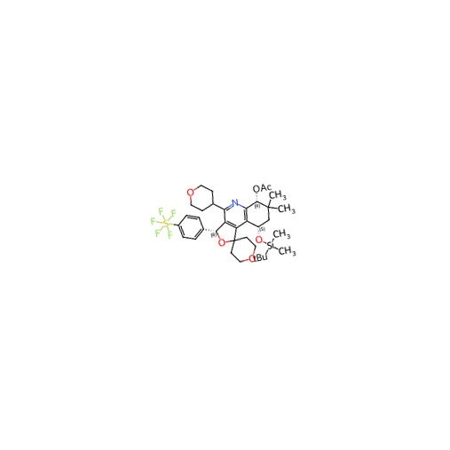 CC(=O)O[C@H]1c2nc(C3CCOCC3)c3c(c2[C@@H](O[Si](C)(C)C(C)(C)C)CC1(C)C)C1(CCOCC1)O[C@@H]3c1ccc(S(F)(F)(F)(F)F)cc1